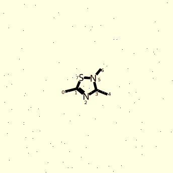 CC1=NC(C)N(C)S1